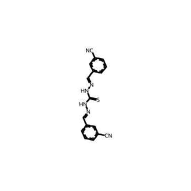 N#Cc1cccc(C=NNC(=S)NN=Cc2cccc(C#N)c2)c1